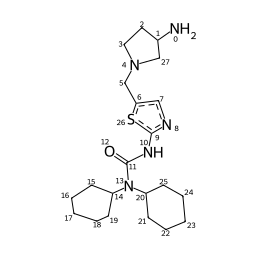 NC1CCN(Cc2cnc(NC(=O)N(C3CCCCC3)C3CCCCC3)s2)C1